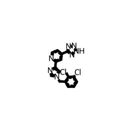 Clc1cccc(Cn2cnc(-c3cc(-c4nn[nH]n4)ccn3)c2)c1Cl